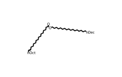 CCCCCCCCC=CCCCCCCCCCCCCCC(=O)OCCCCCCCCCCCCCCCCCCCCCCCCCCC